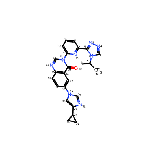 CC(n1cnnc1-c1cccc(-n2cnc3ccc(-n4cnc(C5CC5)c4)cc3c2=O)n1)C(F)(F)F